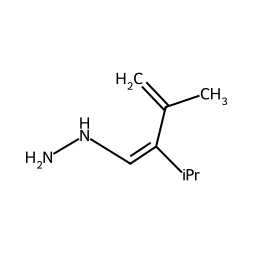 C=C(C)/C(=C\NN)C(C)C